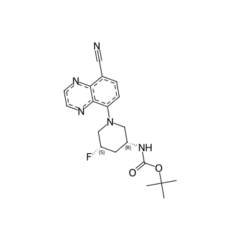 CC(C)(C)OC(=O)N[C@@H]1C[C@H](F)CN(c2ccc(C#N)c3nccnc23)C1